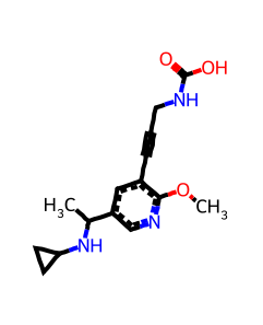 COc1ncc(C(C)NC2CC2)cc1C#CCNC(=O)O